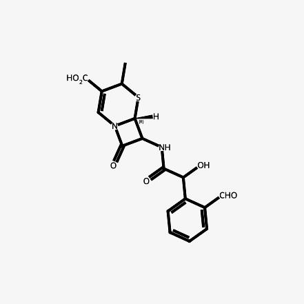 CC1S[C@@H]2C(NC(=O)C(O)c3ccccc3C=O)C(=O)N2C=C1C(=O)O